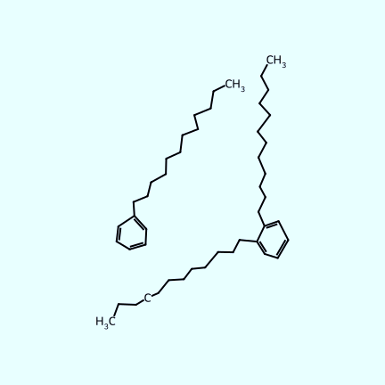 CCCCCCCCCCCCc1ccccc1.CCCCCCCCCCCCc1ccccc1CCCCCCCCCCCC